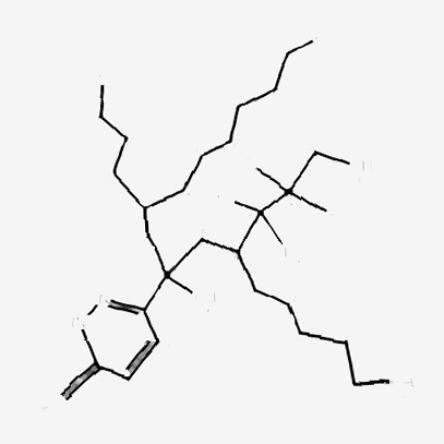 CCCCCCCC(CCCC)CC(C)(CC(CCCCCC)C(F)(F)C(F)(F)CC)c1ccc(=O)[nH]n1